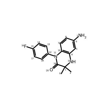 CC1(C)Nc2cc(N)ccc2N(c2ccc(F)cc2)C1=O